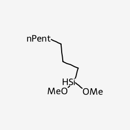 CCCCCCCC[SiH](OC)OC